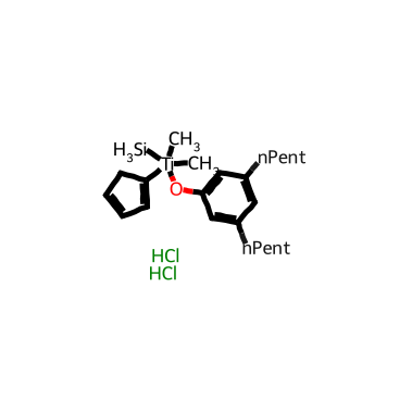 CCCCCc1cc(CCCCC)cc([O][Ti]([CH3])([CH3])([SiH3])[C]2=CC=CC2)c1.Cl.Cl